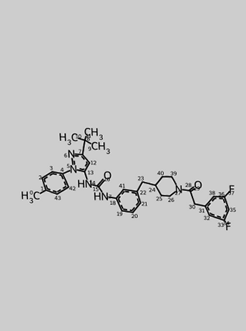 Cc1ccc(-n2nc(C(C)(C)C)cc2NC(=O)Nc2cccc(CC3CCN(C(=O)Cc4cc(F)cc(F)c4)CC3)c2)cc1